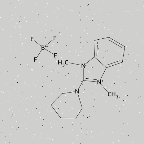 Cn1c(N2CCCCC2)[n+](C)c2ccccc21.F[B-](F)(F)F